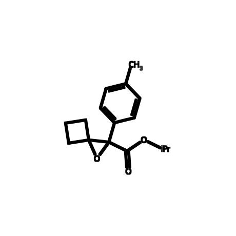 Cc1ccc(C2(C(=O)OC(C)C)OC23CCC3)cc1